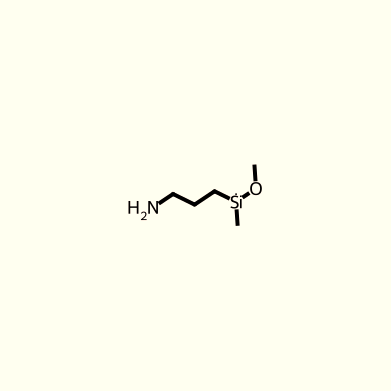 CO[Si](C)CCCN